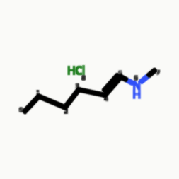 CCCCC=CNC.Cl